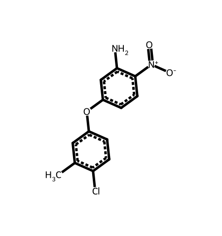 Cc1cc(Oc2ccc([N+](=O)[O-])c(N)c2)ccc1Cl